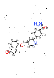 Cc1cc(-c2cc(COc3cccc4c3CCC4=O)ccn2)ccc1C(N)=O